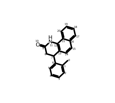 Cc1ccccc1C1CC(=O)Nc2c1ccc1ccccc21